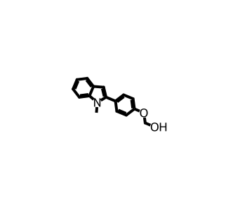 Cn1c(-c2ccc(OCO)cc2)cc2ccccc21